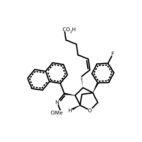 CON=C(c1cccc2ccccc12)[C@@H]1[C@@H]2C[C@@](c3ccc(F)cc3)(CO2)[C@H]1C/C=C\CCCC(=O)O